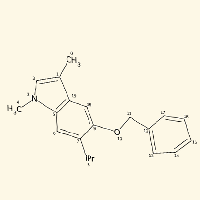 Cc1cn(C)c2cc(C(C)C)c(OCc3ccccc3)cc12